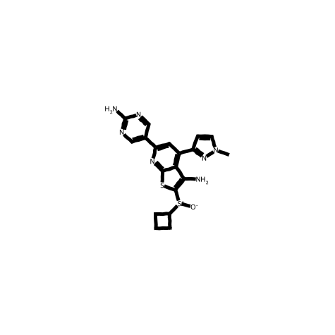 Cn1ccc(-c2cc(-c3cnc(N)nc3)nc3sc([S+]([O-])C4CCC4)c(N)c23)n1